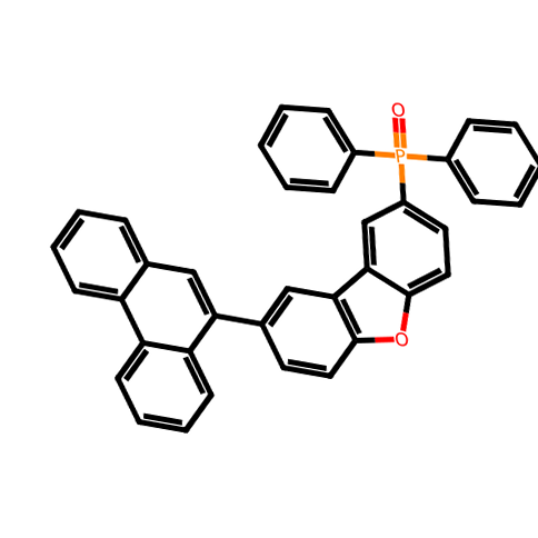 O=P(c1ccccc1)(c1ccccc1)c1ccc2oc3ccc(-c4cc5ccccc5c5ccccc45)cc3c2c1